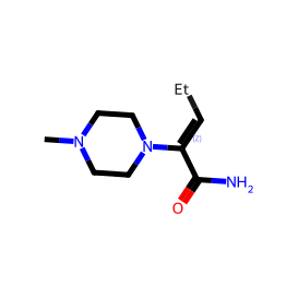 CC/C=C(/C(N)=O)N1CCN(C)CC1